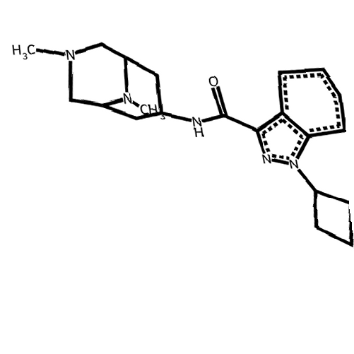 CN1CC2CC(NC(=O)c3nn(C4CCC4)c4ccccc34)CC(C1)N2C